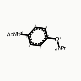 [CH2]CCOc1ccc(NC(C)=O)cc1